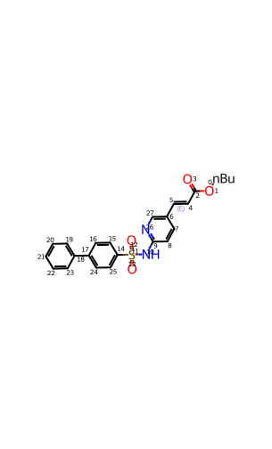 CCCCOC(=O)/C=C/c1ccc(NS(=O)(=O)c2ccc(-c3ccccc3)cc2)nc1